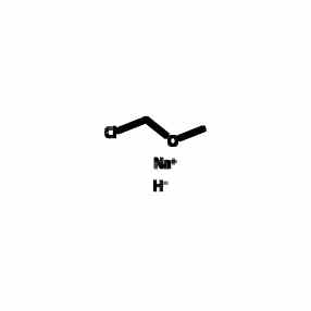 COCCl.[H-].[Na+]